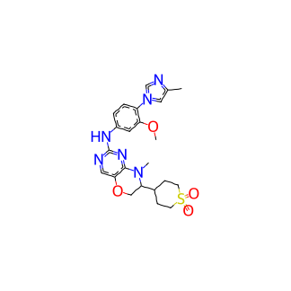 COc1cc(Nc2ncc3c(n2)N(C)C(C2CCS(=O)(=O)CC2)CO3)ccc1-n1cnc(C)c1